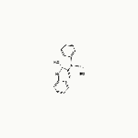 C[C@@H](Nc1ccccn1)C(=O)N(C)c1ccccc1.Cl